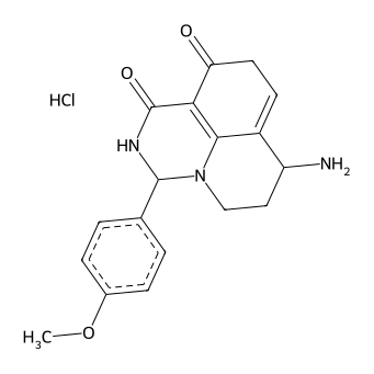 COc1ccc(C2NC(=O)C3=C4C(=CCC3=O)C(N)CCN42)cc1.Cl